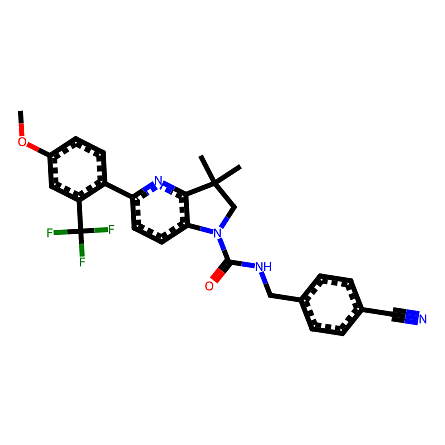 COc1ccc(-c2ccc3c(n2)C(C)(C)CN3C(=O)NCc2ccc(C#N)cc2)c(C(F)(F)F)c1